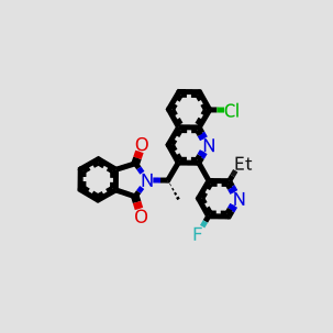 CCc1ncc(F)cc1-c1nc2c(Cl)cccc2cc1[C@H](C)N1C(=O)c2ccccc2C1=O